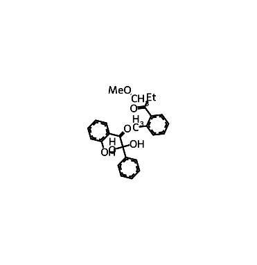 CCC(=O)c1ccccc1C.COC.O=C(c1ccccc1O)C(O)(O)c1ccccc1